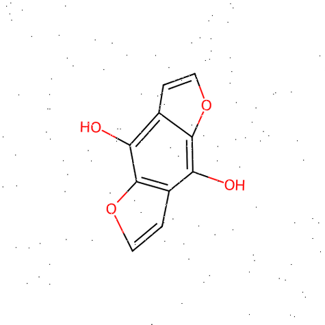 Oc1c2ccoc2c(O)c2ccoc12